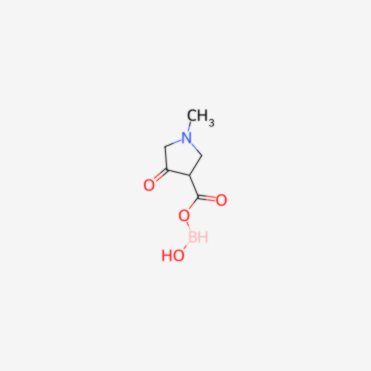 CN1CC(=O)C(C(=O)OBO)C1